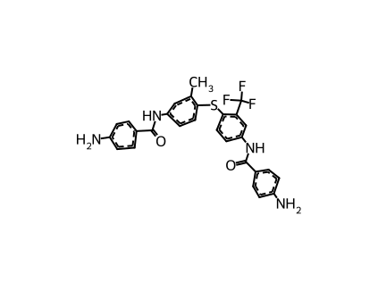 Cc1cc(NC(=O)c2ccc(N)cc2)ccc1Sc1ccc(NC(=O)c2ccc(N)cc2)cc1C(F)(F)F